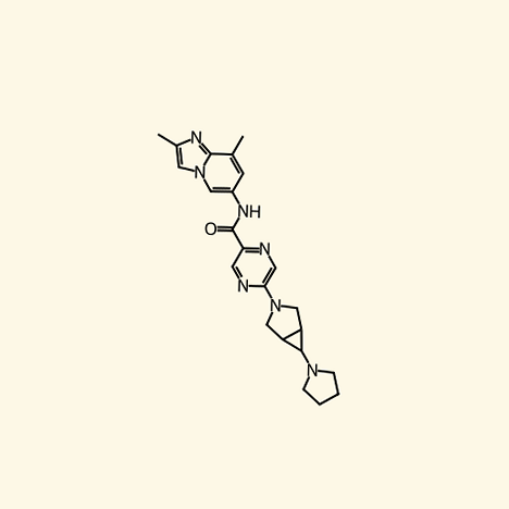 Cc1cn2cc(NC(=O)c3cnc(N4CC5C(C4)C5N4CCCC4)cn3)cc(C)c2n1